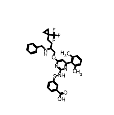 Cc1cccc(C)c1-c1cc(OCC(CCC2(C(F)(F)F)CC2)NCc2ccccc2)nc(NSc2cccc(C(=O)O)c2)n1